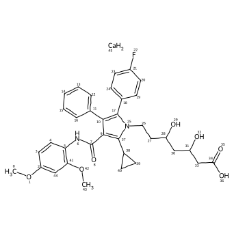 COc1ccc(NC(=O)c2c(-c3ccccc3)c(-c3ccc(F)cc3)n(CCC(O)CC(O)CC(=O)O)c2C2CC2)c(OC)c1.[CaH2]